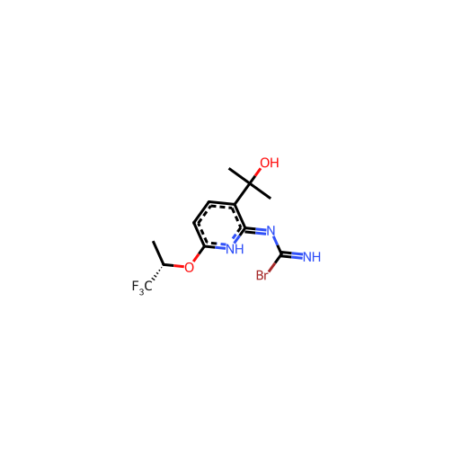 C[C@H](Oc1ccc(C(C)(C)O)/c(=N/C(=N)Br)[nH]1)C(F)(F)F